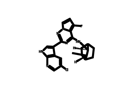 C[C@H]1C2CCC(CC2)[C@@H]1Nc1nc(-c2c[nH]c3ncc(Cl)cc23)nn2ccc(F)c12